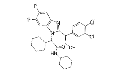 O=C(NC1CCCCC1)C(C1CCCCC1)n1c(C(CO)c2ccc(Cl)c(Cl)c2)nc2cc(F)c(F)cc21